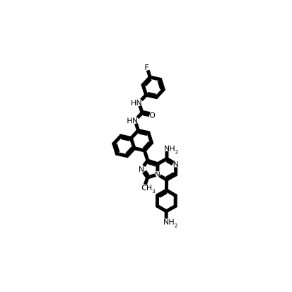 Cc1nc(-c2ccc(NC(=O)Nc3cccc(F)c3)c3ccccc23)c2c(N)ncc(C3=CCC(N)CC3)n12